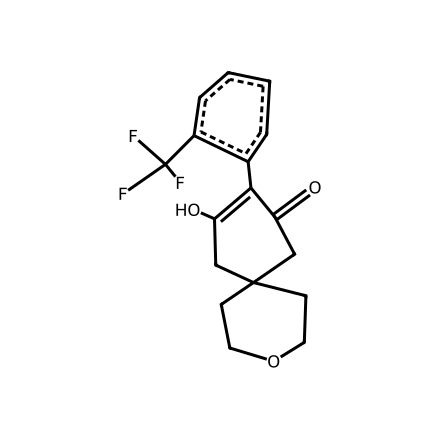 O=C1CC2(CCOCC2)CC(O)=C1c1ccccc1C(F)(F)F